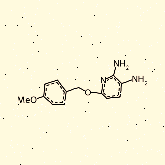 COc1ccc(COc2ccc(N)c(N)n2)cc1